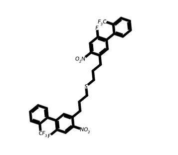 O=[N+]([O-])c1cc(F)c(-c2ccccc2C(F)(F)F)cc1CCCSCCCc1cc(-c2ccccc2C(F)(F)F)c(F)cc1[N+](=O)[O-]